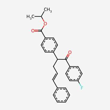 CC(C)OC(=O)c1ccc(C(C/C=C/c2ccccc2)C(=O)c2ccc(F)cc2)cc1